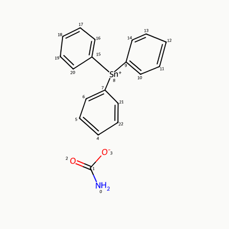 NC(=O)[O-].c1cc[c]([Sn+]([c]2ccccc2)[c]2ccccc2)cc1